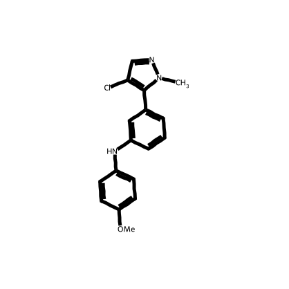 COc1ccc(Nc2cccc(-c3c(Cl)cnn3C)c2)cc1